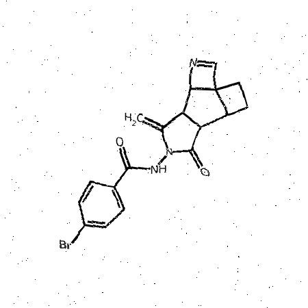 C=C1C2C(C(=O)N1NC(=O)c1ccc(Br)cc1)C1CCC13C=NC23